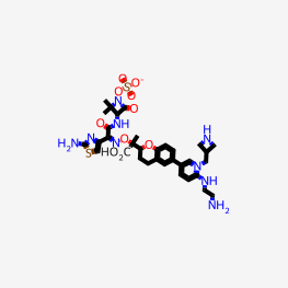 CC(O/N=C(\C(=O)NC1C(=O)N(OS(=O)(=O)[O-])C1(C)C)c1csc(N)n1)(C(=O)O)C1CCc2cc(-c3ccc(NCCN)[n+](CC4CNC4)c3)ccc2O1